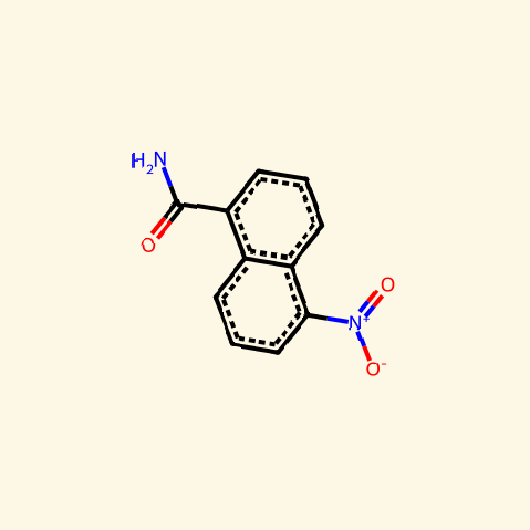 NC(=O)c1cccc2c([N+](=O)[O-])cccc12